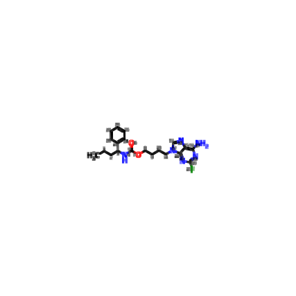 CCCC(NC(=O)OCCCCn1cnc2c(N)nc(F)nc21)c1ccccc1